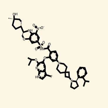 CC(C)Oc1nc2[nH]cc(F)c2cc1Oc1cc(N2CCC3(CC2)CC(N2CCC[C@@H]2c2ccccc2C(C)C)C3)ccc1C(=O)NS(=O)(=O)c1cc2c(c([N+](=O)[O-])c1)N[C@@H]([C@H]1CC[C@](C)(O)CC1)CO2